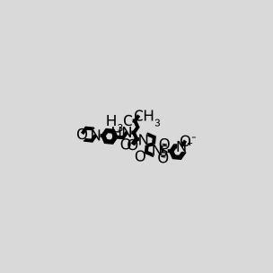 CC(C)CC(NC(=O)c1ccc(N2CCOCC2)cc1)C(=O)N1CCC2C1C(=O)CN2S(=O)(=O)c1ccc[n+]([O-])c1